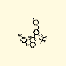 CN1CCN(Cc2ccc(C(=O)NN(c3nc(C#N)ncc3Cl)C3CCOCC3)cc2)CC1.O=C(O)C(F)(F)F